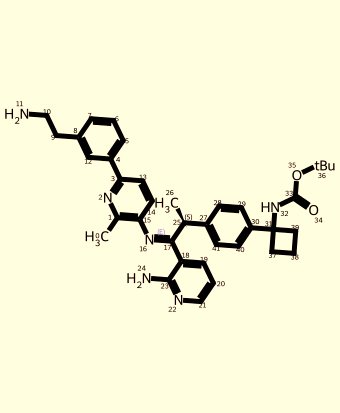 Cc1nc(-c2cccc(CCN)c2)ccc1/N=C(/c1cccnc1N)[C@@H](C)c1ccc(C2(NC(=O)OC(C)(C)C)CCC2)cc1